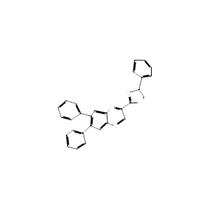 c1ccc(-c2cc3ncc(C4=NC(c5ccccc5)CO4)nc3cc2-c2ccccc2)cc1